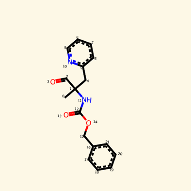 CC(C=O)(Cc1ccccn1)NC(=O)OCc1ccccc1